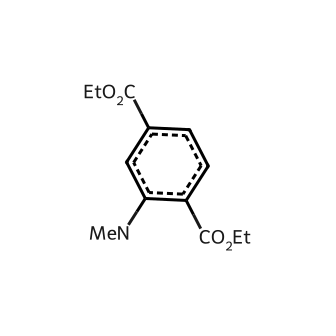 CCOC(=O)c1ccc(C(=O)OCC)c(NC)c1